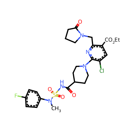 CCOC(=O)c1cc(Cl)c(N2CCC(C(=O)NS(=O)(=O)N(C)c3ccc(F)cc3)CC2)nc1CN1CCCC1=O